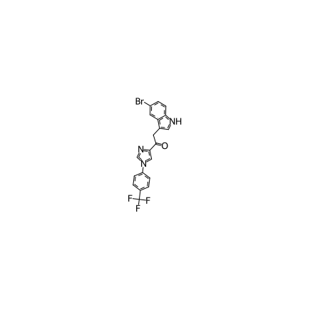 O=C(Cc1c[nH]c2ccc(Br)cc12)c1cn(-c2ccc(C(F)(F)F)cc2)cn1